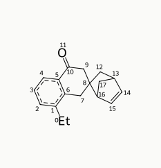 CCc1cccc2c1CC1(CC2=O)CC2C=CC1C2